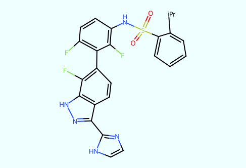 CC(C)c1ccccc1S(=O)(=O)Nc1ccc(F)c(-c2ccc3c(-c4ncc[nH]4)n[nH]c3c2F)c1F